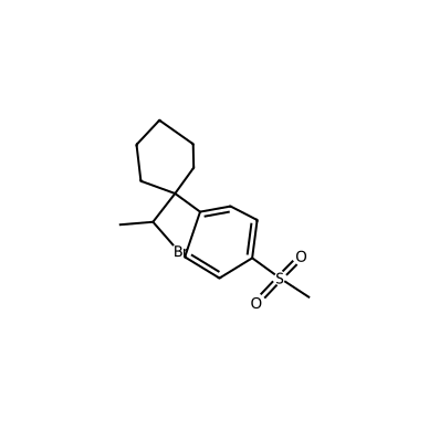 CC(Br)C1(c2ccc(S(C)(=O)=O)cc2)CCCCC1